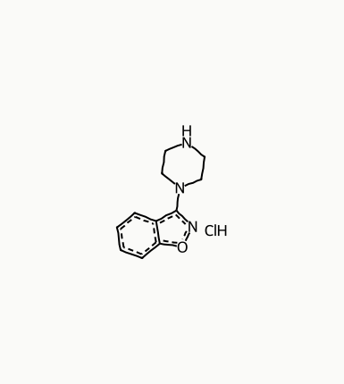 Cl.c1ccc2c(N3CCNCC3)noc2c1